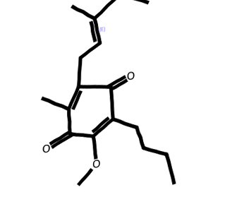 CCCCC1=C(OC)C(=O)C(C)=C(C/C=C(\C)CC)C1=O